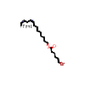 CCCCC/C=C\C/C=C\CCCCCCCCOC(=O)CCCCCBr